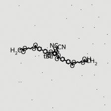 C=CC(=O)OCCCCOC(=O)C1CCC(C2CCC(C(=O)Oc3c(C(C)(C)C)cc(OC(=O)C4CCC(C5CCC(C(=O)OCCCCOC(O)C=C)CC5)CC4)c4c3SC(=C(C#N)C#N)S4)CC2)CC1